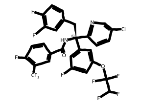 O=C(N[C@@](Cc1ccc(F)c(F)c1)(c1cc(F)cc(OC(F)(F)C(F)F)c1)c1ccc(Cl)cn1)c1ccc(F)c(C(F)(F)F)c1